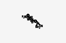 N#CCCCN(CCCN)Cc1ccc(-c2c[nH]c(NC(=O)Nc3ccccc3OC(F)(F)F)nc2=O)cc1